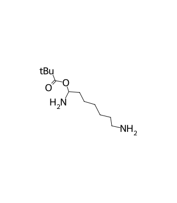 CC(C)(C)C(=O)OC(N)CCCCCCN